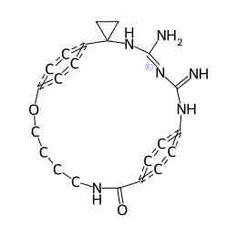 N=C1/N=C(\N)NC2(CC2)c2ccc(cc2)OCCCCNC(=O)c2ccc(cc2)N1